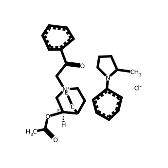 CC(=O)O[C@H]1C[N+]2(CC(=O)c3ccccc3)CCC1CC2.CC1CCCN1c1ccccc1.[Cl-]